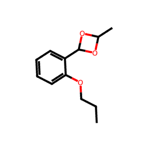 CCCOc1ccccc1C1OC(C)O1